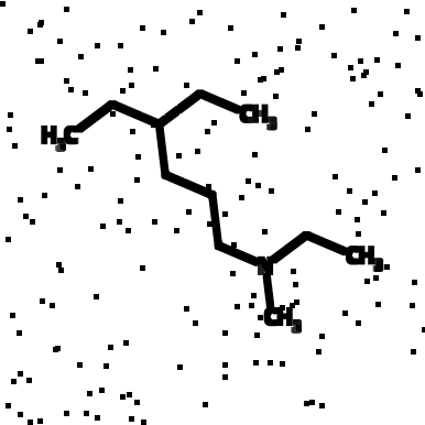 CCC(CC)CCCN(C)CC